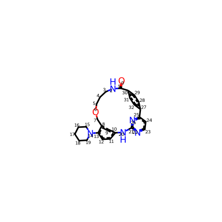 O=C1NCCCOCc2cc(ccc2N2CCCCC2)Nc2nccc(n2)-c2ccc1cc2